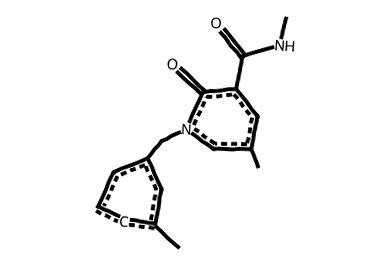 CNC(=O)c1cc(C)cn(Cc2cccc(C)c2)c1=O